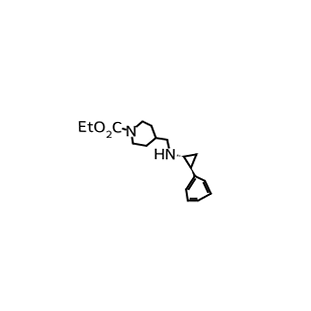 CCOC(=O)N1CCC(CN[C@@H]2C[C@H]2c2ccccc2)CC1